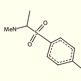 CNC(C)S(=O)(=O)c1ccc(C)cc1